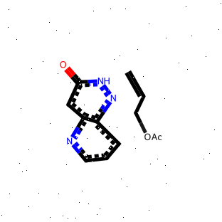 C=CCOC(C)=O.O=c1cc2ncccc2n[nH]1